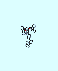 CCC1CC2CCCC(C1)C21c2ccccc2-c2cccc(N(c3ccc(-c4cccc5c4oc4ccccc45)cc3)c3ccc4c(c3)C3(CCCC3)c3ccccc3-4)c21